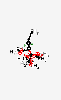 C=C(C)C(=O)OCCCc1cc(-c2c(F)cc(CCCCCCC)cc2F)ccc1OCC(COC(=O)CC(=C)C(=O)OC)(COC(=O)CC(=C)C(=O)OC)COC(=O)C(=C)C